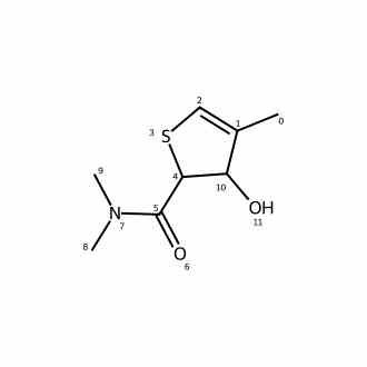 CC1=CSC(C(=O)N(C)C)C1O